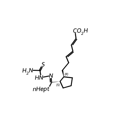 CCCCCCCC(=NNC(N)=S)[C@H]1CCC[C@@H]1CCC=CC=CC(=O)O